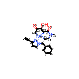 C#Cc1ccn([C@@H](c2ccccc2)C2CN(C)C(=O)c3c(O)c(=O)cnn32)n1